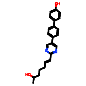 CC(O)CCCC=Cc1ncc(-c2ccc(-c3ccc(O)cc3)cc2)cn1